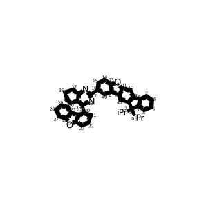 CC(C)C1(C(C)C)c2ccccc2-c2cc3oc4ccc(-c5nc(-c6cccc7oc8ccccc8c67)c6ccccc6n5)cc4c3cc21